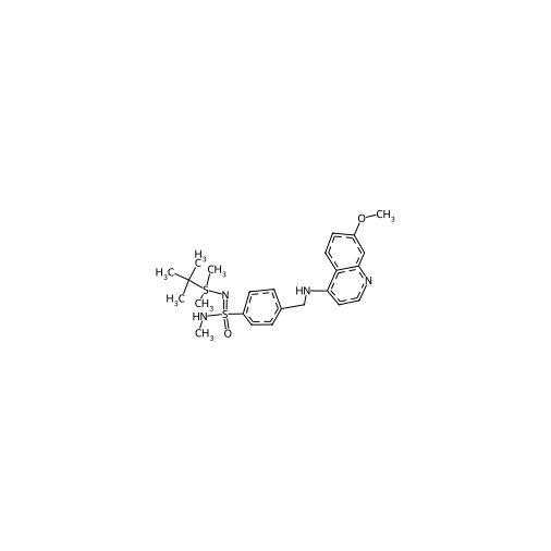 CNS(=O)(=NS(C)(C)C(C)(C)C)c1ccc(CNc2ccnc3cc(OC)ccc23)cc1